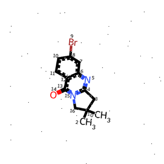 CC1(C)Cc2nc3cc(Br)ccc3c(=O)n2C1